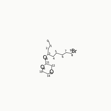 CCCC(CCCCCBr)OC1COCCO1